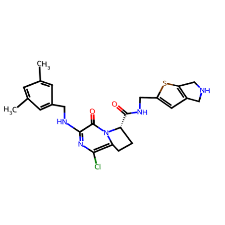 Cc1cc(C)cc(CNc2nc(Cl)c3n(c2=O)[C@H](C(=O)NCc2cc4c(s2)CNC4)CC3)c1